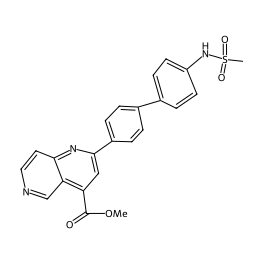 COC(=O)c1cc(-c2ccc(-c3ccc(NS(C)(=O)=O)cc3)cc2)nc2ccncc12